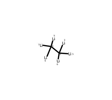 [Li][C]([Li])([Li])[C]([Li])([Li])[Li]